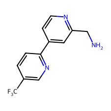 NCc1cc(-c2ccc(C(F)(F)F)cn2)ccn1